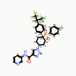 O=C(Nc1cccnc1)c1cn([C@H]2CC[C@@](c3ccc(C(F)(C(F)(F)F)C(F)(F)F)cc3)(S(=O)(=O)c3ccc(F)cc3)CC2)nn1